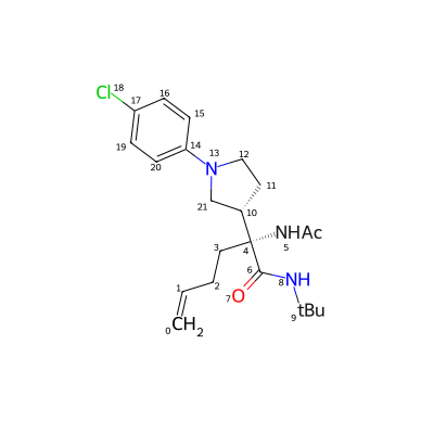 C=CCC[C@](NC(C)=O)(C(=O)NC(C)(C)C)[C@H]1CCN(c2ccc(Cl)cc2)C1